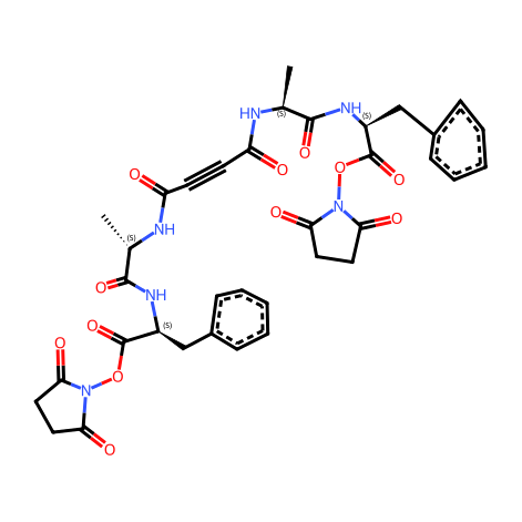 C[C@H](NC(=O)C#CC(=O)N[C@@H](C)C(=O)N[C@@H](Cc1ccccc1)C(=O)ON1C(=O)CCC1=O)C(=O)N[C@@H](Cc1ccccc1)C(=O)ON1C(=O)CCC1=O